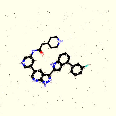 O=C(CC1CCNCC1)Nc1cncc(-c2cnc3[nH]nc(-c4cc5c(-c6cccc(F)c6)cccc5[nH]4)c3c2)c1